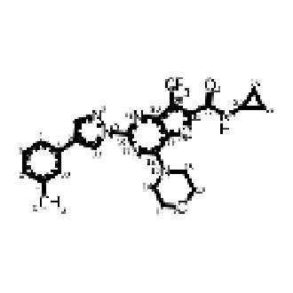 Cc1cccc(-c2cnn(-c3nc(N4CCOCC4)c4oc(C(=O)NC5CC5)c(C(F)(F)F)c4n3)c2)c1